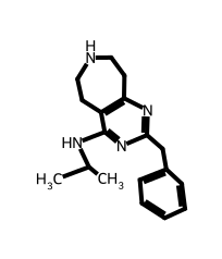 CC(C)Nc1nc(Cc2ccccc2)nc2c1CCNCC2